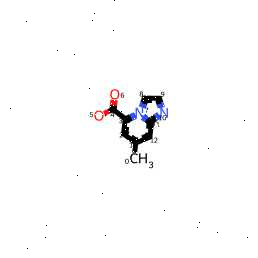 Cc1cc(C([O])=O)n2ccnc2c1